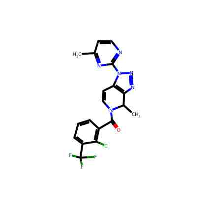 Cc1ccnc(-n2nnc3c2C=CN(C(=O)c2cccc(C(F)(F)F)c2Cl)C3C)n1